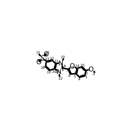 COc1ccc2cc(-c3n(C)c4cc(S(C)(=O)=O)ccc4[n+]3C)oc2c1